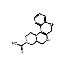 O=C(O)N1CCN2C3=C(CNc4ncccc43)NCC2C1